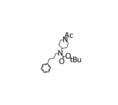 CC(=O)N1CCC(N(CCCc2ccccc2)C(=O)OC(C)(C)C)CC1